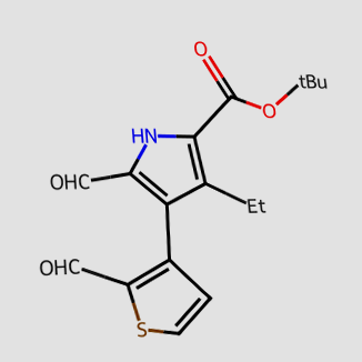 CCc1c(C(=O)OC(C)(C)C)[nH]c(C=O)c1-c1ccsc1C=O